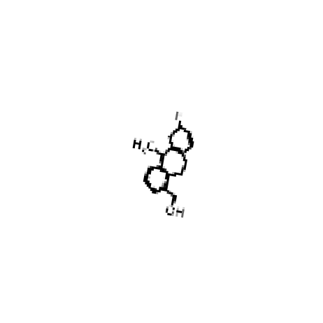 CC1C2=C(C=CC(F)C2)CCc2c(CO)cccc21